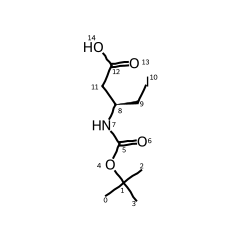 CC(C)(C)OC(=O)N[C@H](CI)CC(=O)O